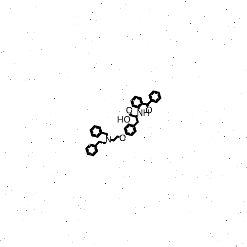 O=C(c1ccccc1)c1ccccc1NC(Cc1ccc(OCCN(CCc2ccccc2)Cc2ccccc2)cc1)C(=O)O